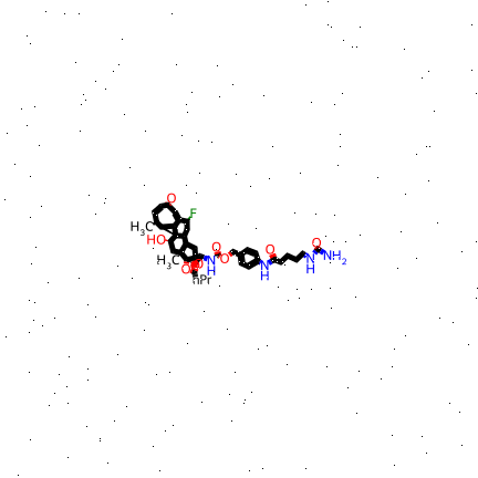 CCCC1OC2CC3C4C[C@H](F)/C5=C/C(=O)/C=C\[C@H](C)C6C5[C@@]46[C@@H](O)C[C@]3(C)[C@]2(C(=O)CNC(=O)OCc2ccc(NC(=O)CCCCNC(N)=O)cc2)O1